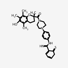 Cc1c(C)c2c(c(C)c1O)CCC(C)(C(=O)N1CCN(c3ccc(NC(=N)C4=CC=CCC4=S)cc3)CC1)O2